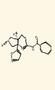 O=C(NC1=NC2(c3ccns3)CNC[C@H]2CS1)c1ccccc1